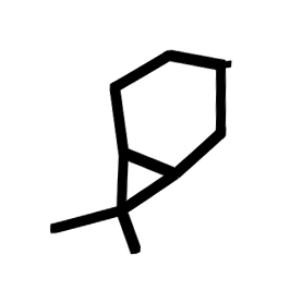 CC1(C)C2C[CH]CCC21